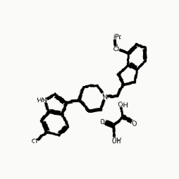 CC(C)Oc1cccc2c1CC(CN1CCC(c3c[nH]c4cc(Cl)ccc34)CC1)C2.O=C(O)C(=O)O